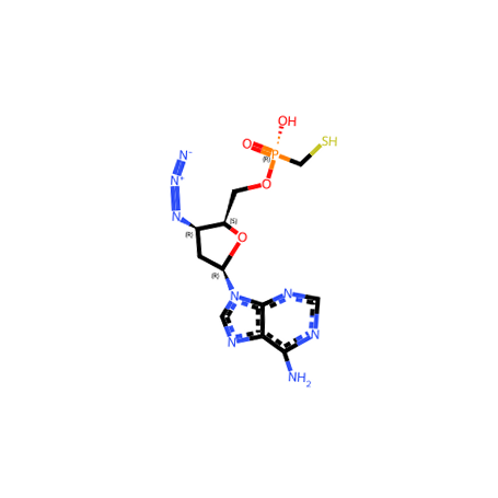 [N-]=[N+]=N[C@@H]1C[C@H](n2cnc3c(N)ncnc32)O[C@@H]1CO[P@](=O)(O)CS